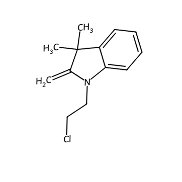 C=C1N(CCCl)c2ccccc2C1(C)C